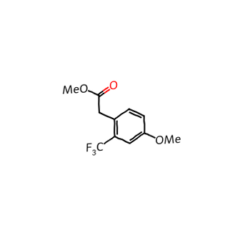 COC(=O)Cc1ccc(OC)cc1C(F)(F)F